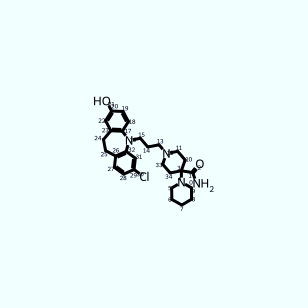 NC(=O)C1(N2CCCCC2)CCN(CCCN2c3ccc(O)cc3CCc3ccc(Cl)cc32)CC1